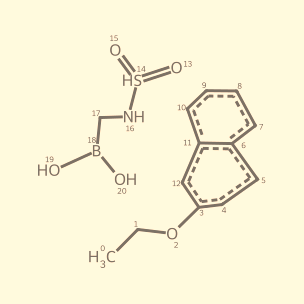 CCOc1ccc2ccccc2c1.O=[SH](=O)NCB(O)O